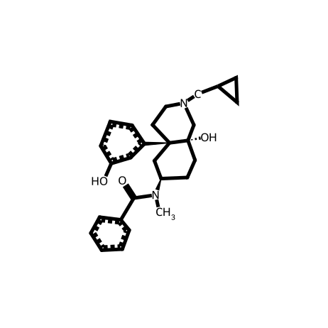 CN(C(=O)c1ccccc1)[C@@H]1CC[C@]2(O)CN(CC3CC3)CC[C@@]2(c2cccc(O)c2)C1